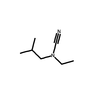 CCN(C#N)CC(C)C